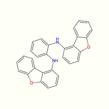 c1ccc(Nc2cccc3oc4ccccc4c23)c(Nc2cccc3oc4ccccc4c23)c1